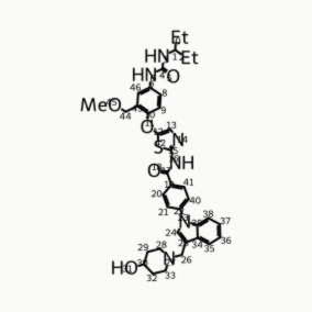 CCC(CC)NC(=O)Nc1ccc(Oc2cnc(NC(=O)c3ccc(-n4cc(CN5CCC(O)CC5)c5ccccc54)cc3)s2)c(COC)c1